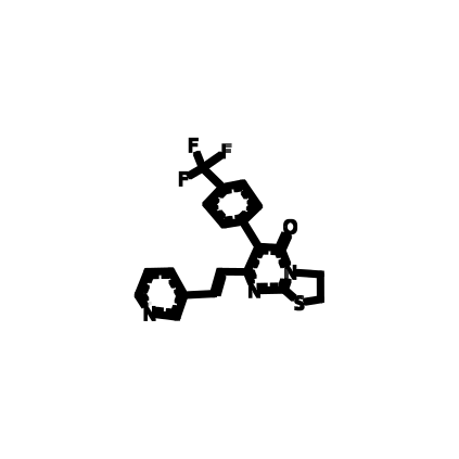 O=c1c(-c2ccc(C(F)(F)F)cc2)c(/C=C/c2cccnc2)nc2n1CCS2